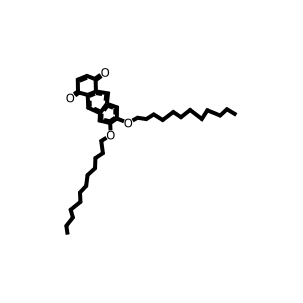 CCCCCCCCCCCCOc1cc2cc3c(cc2cc1OCCCCCCCCCCCC)C(=O)C=CC3=O